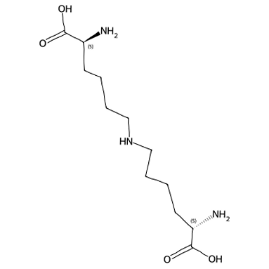 N[C@@H](CCCCNCCCC[C@H](N)C(=O)O)C(=O)O